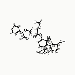 CC(=O)O[C@@H](CC(=O)O[C@H](C(C)=O)c1ccccc1)C(=O)OC1=CC[C@@]2(O)[C@H]3Cc4ccc(O)c5c4[C@@]2(CCN3C)[C@H]1O5